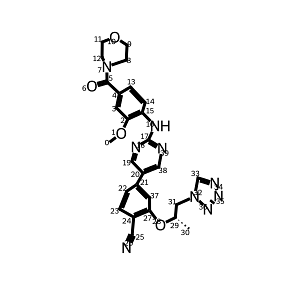 COc1cc(C(=O)N2CCOCC2)ccc1Nc1ncc(-c2ccc(C#N)c(O[C@@H](C)Cn3cnnn3)c2)cn1